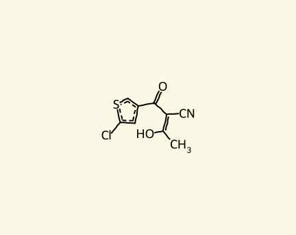 CC(O)=C(C#N)C(=O)c1csc(Cl)c1